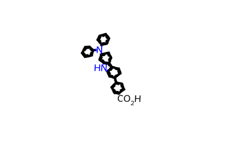 O=C(O)c1ccc(-c2ccc3c(c2)[nH]c2cc(N(c4ccccc4)c4ccccc4)ccc23)cc1